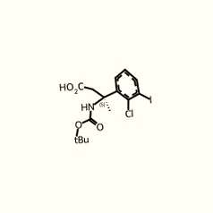 CC(C)(C)OC(=O)N[C@@](C)(CC(=O)O)c1cccc(I)c1Cl